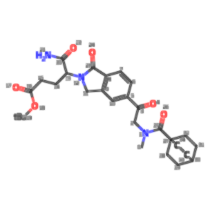 CN(CC(=O)c1ccc2c(c1)CN(C(CCC(=O)OC(C)(C)C)C(N)=O)C2=O)C(=O)C12CCC(CC1)CC2